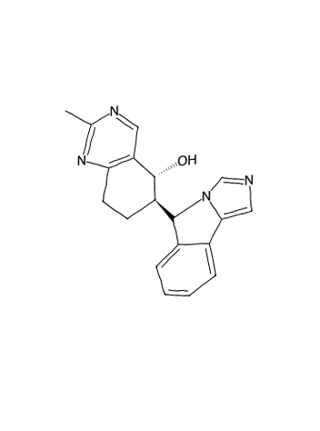 Cc1ncc2c(n1)CC[C@H](C1c3ccccc3-c3cncn31)[C@H]2O